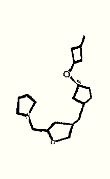 CC1CC(O[C@H]2CCC(CC3COC(CN4CCCC4)C3)C2)C1